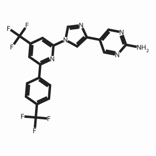 Nc1ncc(-c2cn(-c3cc(C(F)(F)F)cc(-c4ccc(C(F)(F)F)cc4)n3)cn2)cn1